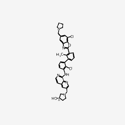 Cc1c(-c2nc3cc(CN4CCCC4)cc(Cl)c3o2)cccc1-c1cccc(Nc2nccc3cc(CN4CC[C@@H](O)C4)cnc23)c1Cl